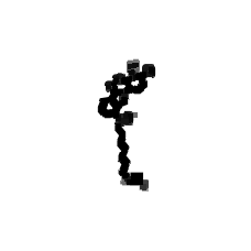 NCCCCCCC[S+]([O-])c1cccc2c1CN(C1CCC(=O)NC1=O)C2=O